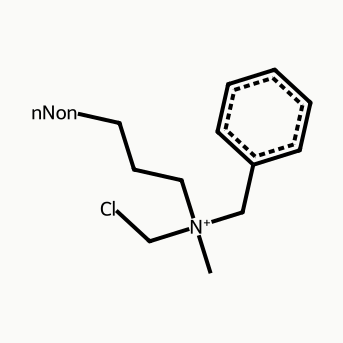 CCCCCCCCCCCC[N+](C)(CCl)Cc1ccccc1